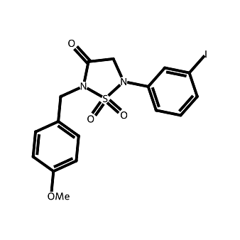 COc1ccc(CN2C(=O)CN(c3cccc(I)c3)S2(=O)=O)cc1